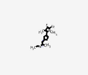 C=C/N=C(C)\C=C1/CC=C(c2c(C)c(F)c(CC)n2C)C1